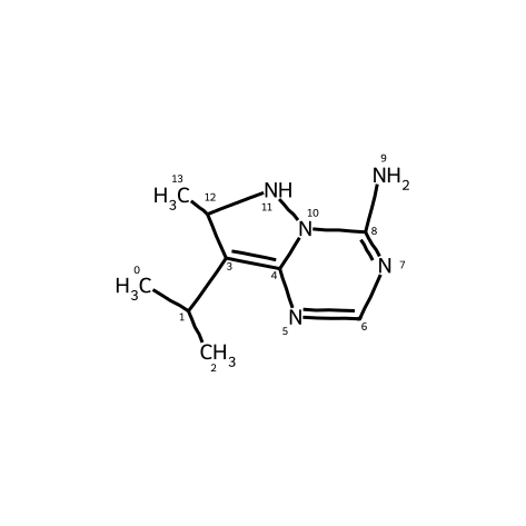 CC(C)C1=C2N=CN=C(N)N2NC1C